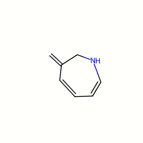 C=C1C=CC=CNC1